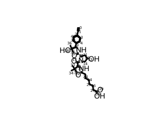 C#Cc1ccc([C@@H](NC(=O)[C@@H]2C[C@@H](O)CN2C(=O)[C@@H](NC(=O)CCCCCCC(=O)O)C(C)(C)C)C(C)(C)O)cc1